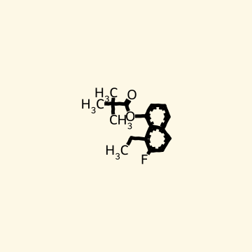 CCc1c(F)ccc2cccc(OC(=O)C(C)(C)C)c12